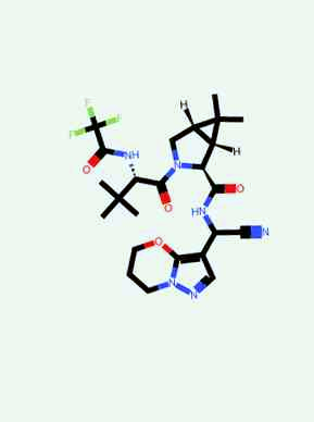 CC(C)(C)[C@H](NC(=O)C(F)(F)F)C(=O)N1C[C@H]2[C@@H]([C@H]1C(=O)NC(C#N)c1cnn3c1OCCC3)C2(C)C